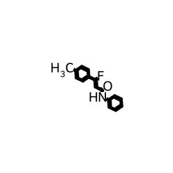 Cc1ccc(C(F)=CC(=O)Nc2ccccc2)cc1